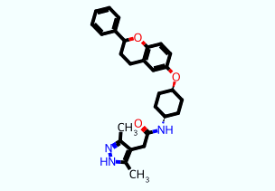 Cc1n[nH]c(C)c1CC(=O)N[C@H]1CC[C@H](Oc2ccc3c(c2)CCC(c2ccccc2)O3)CC1